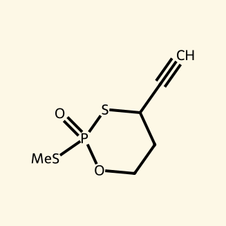 C#CC1CCOP(=O)(SC)S1